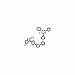 CC(C)c1nc2ccc(N)cc2n1-c1ccc(-c2cccc(-c3cccc(-c4ccc(C5N=C(c6ccccc6)N=C(c6ccccc6)N5)cc4)c3)c2)cc1